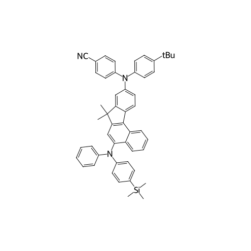 CC(C)(C)c1ccc(N(c2ccc(C#N)cc2)c2ccc3c(c2)C(C)(C)c2cc(N(c4ccccc4)c4ccc([Si](C)(C)C)cc4)c4ccccc4c2-3)cc1